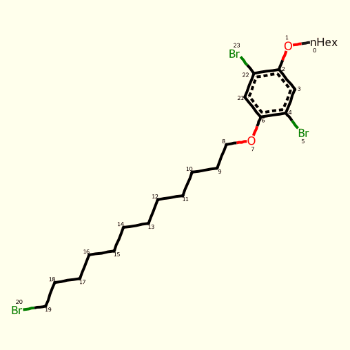 CCCCCCOc1cc(Br)c(OCCCCCCCCCCCCBr)cc1Br